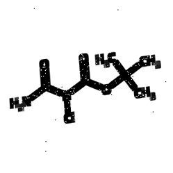 CC(C)(C)OC(=O)N(Cl)C(N)=O